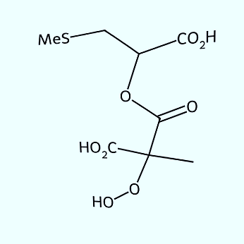 CSCC(OC(=O)C(C)(OO)C(=O)O)C(=O)O